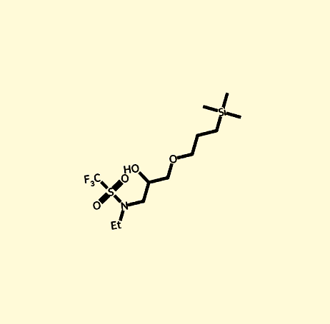 CCN(CC(O)COCCC[Si](C)(C)C)S(=O)(=O)C(F)(F)F